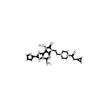 Cn1c(=O)n(CCN2CCN(C(=O)CC3CC3)CC2)c2nc(N)n3nc(-c4ccco4)nc3c21